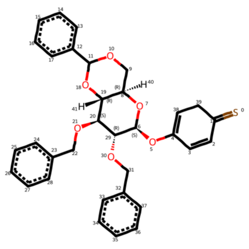 S=C1C=CC(O[C@@H]2O[C@@H]3COC(c4ccccc4)O[C@H]3[C@H](OCc3ccccc3)[C@H]2OCc2ccccc2)=CC1